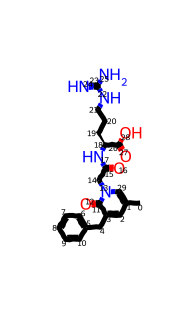 Cc1cc(Cc2ccccc2)c(=O)n(CC(=O)N[C@@H](CCCNC(=N)N)C(=O)O)c1